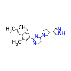 CC(C)=Cc1ccc(-c2nccc(N3CCC(c4cn[nH]c4)C3)n2)cc1C